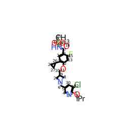 CC(C)Oc1ncc(CN2CC(COc3cc(F)c(C(=O)NS(C)(=O)=O)cc3C3CC3)C2)cc1Cl